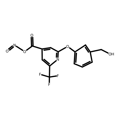 O=NOC(=O)c1cc(Oc2cccc(CO)c2)nc(C(F)(F)F)c1